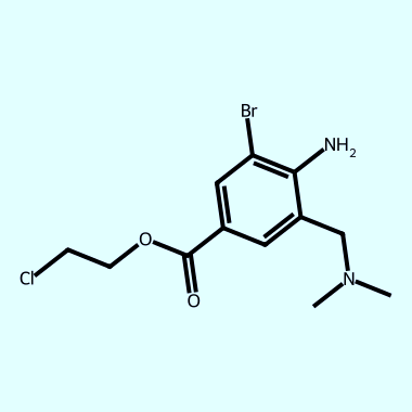 CN(C)Cc1cc(C(=O)OCCCl)cc(Br)c1N